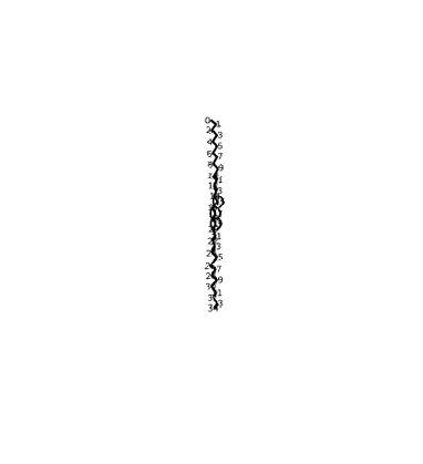 CCCCCCCCCCC=CC=CCOCOCOCC=CC=CCCCCCCCCCC